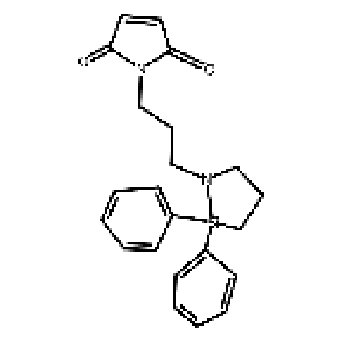 O=C1C=CC(=O)N1CCCN1CCC[Si]1(c1ccccc1)c1ccccc1